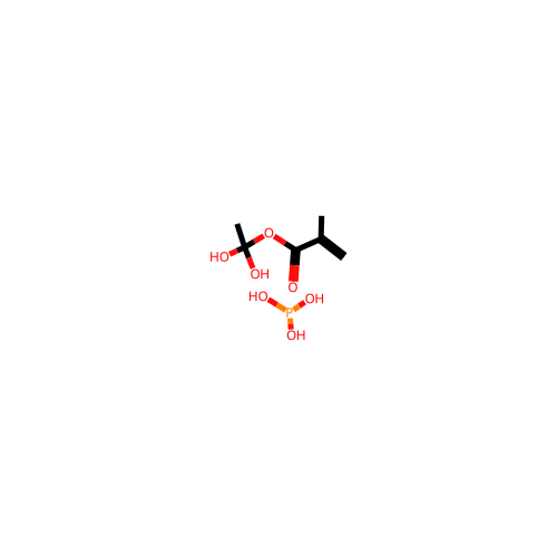 C=C(C)C(=O)OC(C)(O)O.OP(O)O